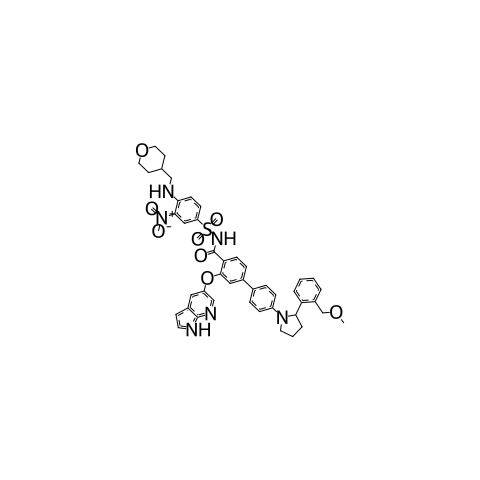 COCc1ccccc1C1CCCN1c1ccc(-c2ccc(C(=O)NS(=O)(=O)c3ccc(NCC4CCOCC4)c([N+](=O)[O-])c3)c(Oc3cnc4[nH]ccc4c3)c2)cc1